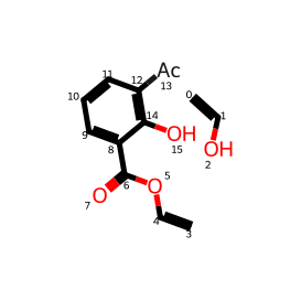 C=CO.C=COC(=O)c1cccc(C(C)=O)c1O